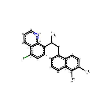 Cc1ccc2c(CC(C)c3ccc(F)c4cccnc34)cccc2c1C(C)C